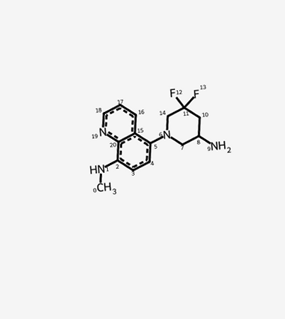 CNc1ccc(N2CC(N)CC(F)(F)C2)c2cccnc12